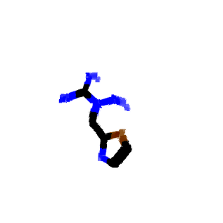 N=C(N)N(N)Cc1nccs1